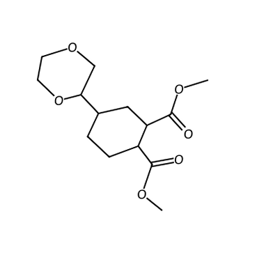 COC(=O)C1CCC(C2COCCO2)CC1C(=O)OC